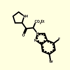 CCOC(=O)C(C(=O)C1CCCN1)n1cc2c(F)cc(Br)cc2n1